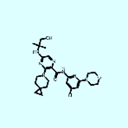 CC(C)(CO)Nc1cnc(C(=O)Nc2cc(Cl)cc(N3CCOCC3)n2)c(N2CCC3(CC2)CC3)n1